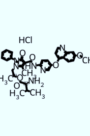 COc1ccc2c(Oc3ccc(NC(=O)c4c(C)n(C[C@@H](C)OC(=O)[C@@H](N)C(C)C)n(-c5ccccc5)c4=O)nc3)ccnc2c1.Cl